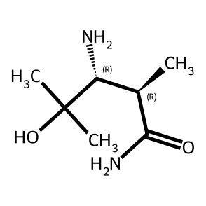 C[C@@H](C(N)=O)[C@@H](N)C(C)(C)O